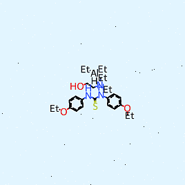 CCN(CC)CCO.CCOc1ccc(NC(=S)Nc2ccc(OCC)cc2)cc1.C[CH2][AlH][CH2]C